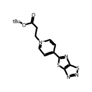 CC(C)(C)OC(=O)CC[n+]1ccc(-c2nc3snnc3s2)cc1